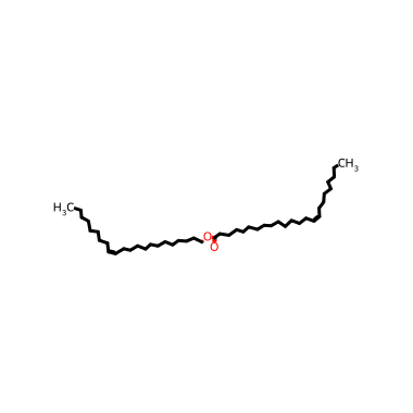 CCCCCCCC/C=C\CCCCCCCCCCCCCC(=O)OCCCCCCCCCCCC/C=C\CCCCCCCC